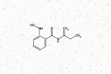 C=C(CC)NC(=O)c1ccccc1NO